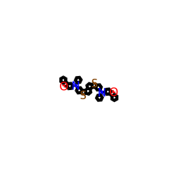 c1ccc(N(c2ccc3oc4ccccc4c3c2)c2ccc3sc4ccc5c(ccc6sc7ccc(N(c8ccccc8)c8ccc9oc%10ccccc%10c9c8)cc7c65)c4c3c2)cc1